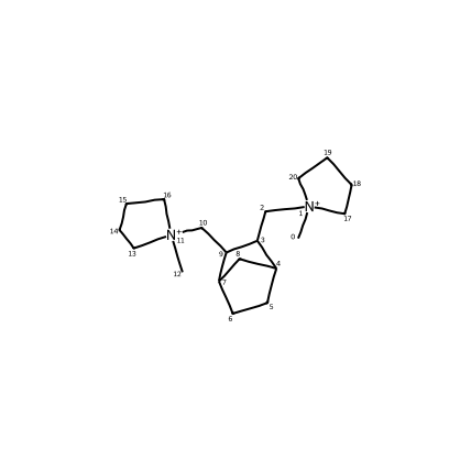 C[N+]1(CC2C3CCC(C3)C2C[N+]2(C)CCCC2)CCCC1